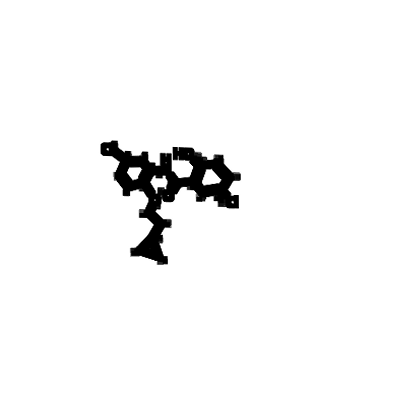 O=C(Nc1cc(Cl)ccc1OCCC1CC1)c1cc(Cl)ccc1O